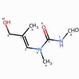 C/C(=C\N(C)C(=O)NC=O)CO